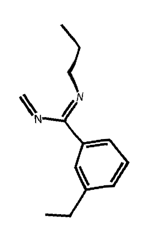 C=N/C(=N\CCC)c1cccc(CC)c1